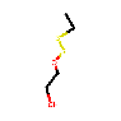 CCSSOCCO